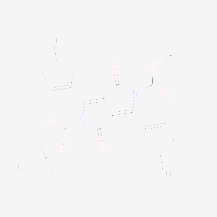 Cc1ccc(C2=C3C(=O)N(C(=O)OC(C)(C)C)C(c4ccc(C)s4)=C3C(=O)N2C(=O)OC(C)(C)C)s1